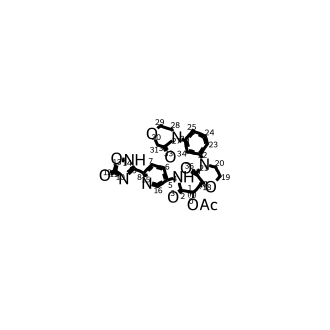 CC(=O)O[C@@H](C(=O)Nc1ccc(-c2nc(=O)o[nH]2)nc1)[C@H]1OCCN(c2cccc(N3CCOCC3=O)c2)C1=O